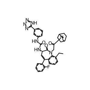 CCc1cccc2c1N(CC(=O)N1CC3CCC(CC3)C1)C(=O)[C@H](NC(=O)Nc1cccc(-c3nnn[nH]3)c1)C=C2c1ccccc1F